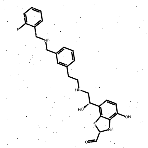 O=CC1Nc2c(O)ccc([C@@H](O)CNCCc3cccc(CNCc4ccccc4F)c3)c2S1